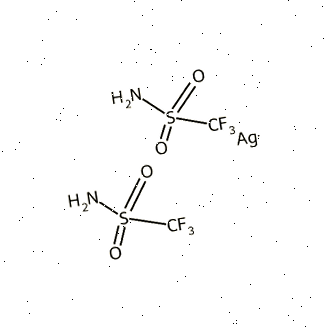 NS(=O)(=O)C(F)(F)F.NS(=O)(=O)C(F)(F)F.[Ag]